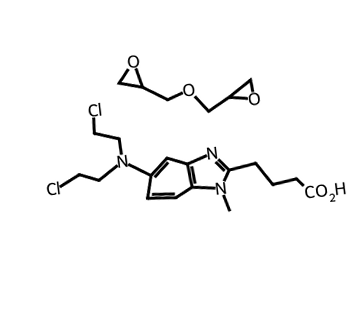 C(OCC1CO1)C1CO1.Cn1c(CCCC(=O)O)nc2cc(N(CCCl)CCCl)ccc21